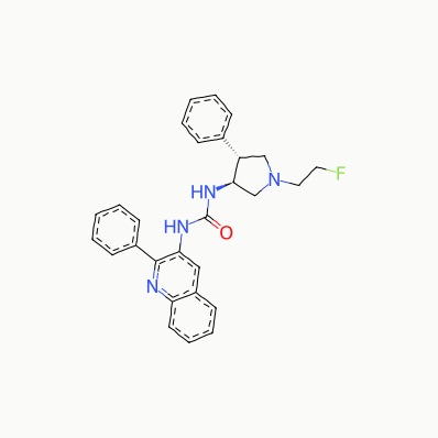 O=C(Nc1cc2ccccc2nc1-c1ccccc1)N[C@@H]1CN(CCF)C[C@H]1c1ccccc1